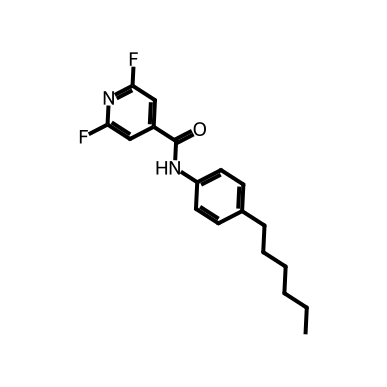 CCCCCCc1ccc(NC(=O)c2cc(F)nc(F)c2)cc1